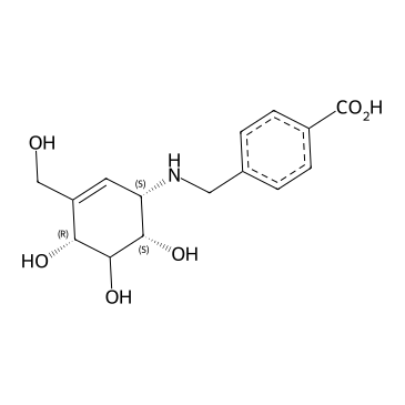 O=C(O)c1ccc(CN[C@H]2C=C(CO)[C@@H](O)C(O)[C@H]2O)cc1